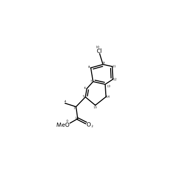 COC(=O)C(C)C1=Cc2cc(Cl)ccc2CC1